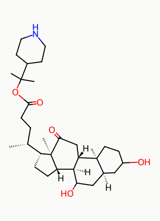 C[C@H](CCC(=O)OC(C)(C)C1CCNCC1)[C@H]1CC[C@H]2[C@@H]3C(O)C[C@@H]4CC(O)CC[C@]4(C)[C@H]3CC(=O)[C@]12C